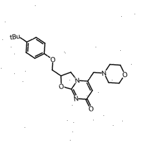 CC(C)(C)c1ccc(OCC2Cn3c(CN4CCOCC4)cc(=O)nc3O2)cc1